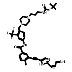 Cc1ccc(C(=O)Nc2ccc(CN3CCN(CCCNC(=O)OC(C)(C)C)CC3)c(C(F)(F)F)c2)cc1C#Cc1cnc(/C=C\C=N)[nH]1